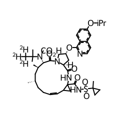 [2H]C([2H])([2H])C(C)(C)N(C(=O)O)[C@@H]1C(=O)N2C[C@H](Oc3nccc4cc(OC(C)C)ccc34)C[C@H]2C(=O)NC2(C(=O)NS(=O)(=O)C3(C)CC3)CC2/C=C\CC[C@H](C)C[C@H]1C